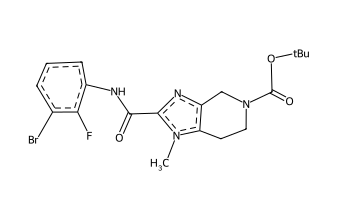 Cn1c(C(=O)Nc2cccc(Br)c2F)nc2c1CCN(C(=O)OC(C)(C)C)C2